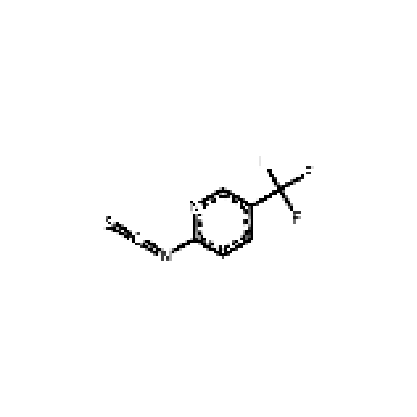 FC(F)(F)c1ccc(N=C=S)nc1